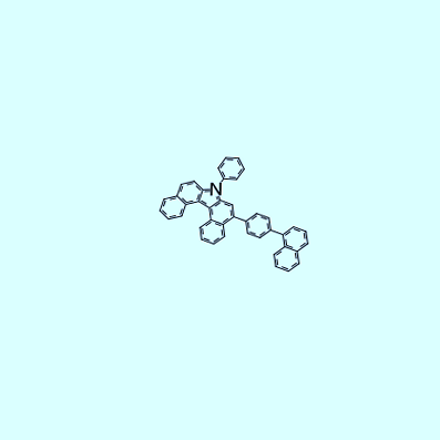 c1ccc(-n2c3ccc4ccccc4c3c3c4ccccc4c(-c4ccc(-c5cccc6ccccc56)cc4)cc32)cc1